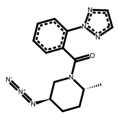 C[C@@H]1CC[C@@H](N=[N+]=[N-])CN1C(=O)c1ccccc1-n1nccn1